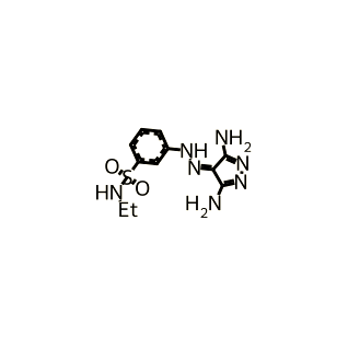 CCNS(=O)(=O)c1cccc(NN=C2C(N)=NN=C2N)c1